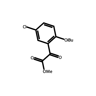 COC(=O)C(=O)c1cc(Cl)ccc1OCC(C)C